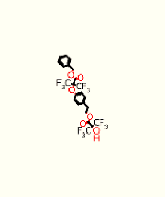 O=C(OCCc1ccc(OC(C(=O)OCc2ccccc2)(C(F)(F)F)C(F)(F)F)cc1)C(O)(C(F)(F)F)C(F)(F)F